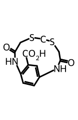 O=C1CSCSCC(=O)Nc2ccc(cc2C(=O)O)N1